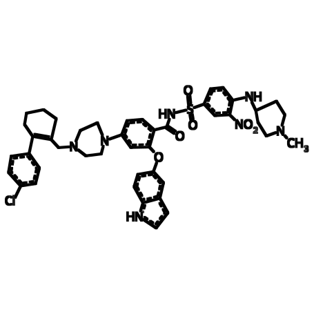 CN1CCC(Nc2ccc(S(=O)(=O)NC(=O)c3ccc(N4CCN(CC5=C(c6ccc(Cl)cc6)CCCC5)CC4)cc3Oc3ccc4[nH]ccc4c3)cc2[N+](=O)[O-])CC1